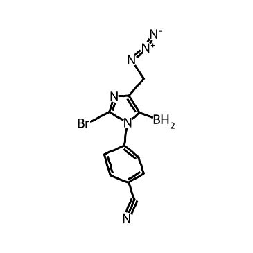 Bc1c(CN=[N+]=[N-])nc(Br)n1-c1ccc(C#N)cc1